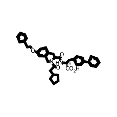 O=C(N[C@@H](Cc1ccc(-c2ccccc2)cc1)C(=O)O)C1Cc2ccc(OCCc3ccccc3)cc2CN1C(=O)CC1CCCC1